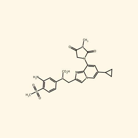 CN1C(=O)CN(c2cc(C3CC3)cn3cc(CN(C(=O)O)c4ccc(S(C)(=O)=O)c(N)c4)nc23)C1=O